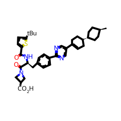 CC(C)(C)c1ccc(C(=O)N[C@@H](Cc2ccc(-c3ncc(C4=CCC([C@H]5CC[C@H](C)CC5)CC4)cn3)cc2)C(=O)N2CC(C(=O)O)C2)s1